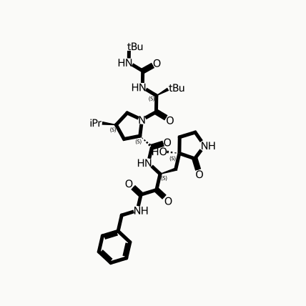 CC(C)[C@@H]1C[C@@H](C(=O)N[C@@H](C[C@@]2(O)CCNC2=O)C(=O)C(=O)NCc2ccccc2)N(C(=O)[C@@H](NC(=O)NC(C)(C)C)C(C)(C)C)C1